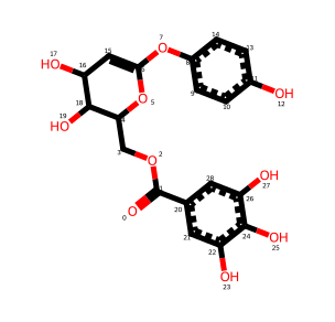 O=C(OCC1OC(Oc2ccc(O)cc2)=CC(O)C1O)c1cc(O)c(O)c(O)c1